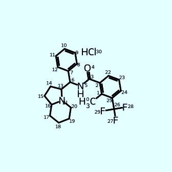 Cc1c(C(=O)NC(c2ccccc2)C2CCC3CCCCN32)cccc1C(F)(F)F.Cl